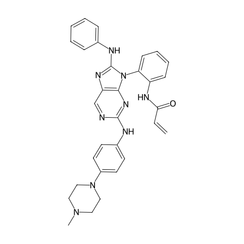 C=CC(=O)Nc1ccccc1-n1c(Nc2ccccc2)nc2cnc(Nc3ccc(N4CCN(C)CC4)cc3)nc21